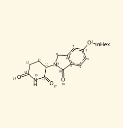 CCCCCCOc1ccc2c(c1)CN(C1CCC(=O)NC1=O)C2=O